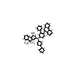 C[C@@H]1CC(N(c2ccc(-c3ccccc3)cc2)c2ccc(-c3cc4ccccc4c4ccccc34)c(-c3ccccc3)c2)=CC2=C1c1ccccc1C2(C)C